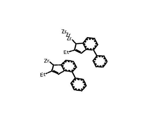 CCC1=Cc2c(-c3ccccc3)cccc2[CH]1[Zr].CCC1=Cc2c(-c3ccccc3)cccc2[CH]1[Zr].[Zr].[Zr]